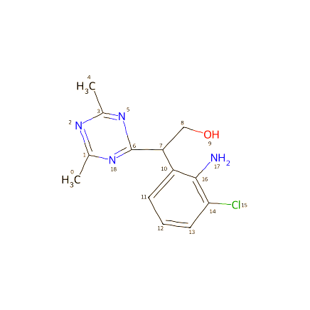 Cc1nc(C)nc(C(CO)c2cccc(Cl)c2N)n1